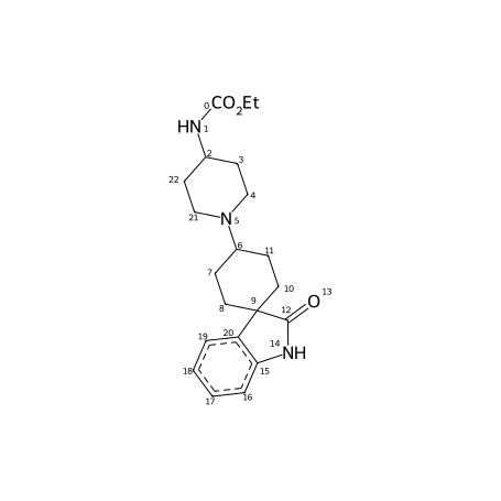 CCOC(=O)NC1CCN(C2CCC3(CC2)C(=O)Nc2ccccc23)CC1